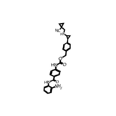 N#CC1(CNC2CC2c2ccc(COC(=O)Nc3ccc(C(=O)Nc4ccccc4N)cc3)cc2)CC1